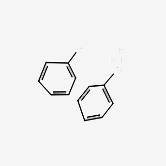 CC(=O)c1ccccc1.Cl.Cl.Oc1ccccc1